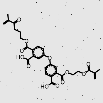 C=C(C)C(=O)CCCOC(=O)c1ccc(Oc2ccc(C(=O)O)c(C(=O)OCCOC(=O)C(=C)C)c2)cc1C(=O)O